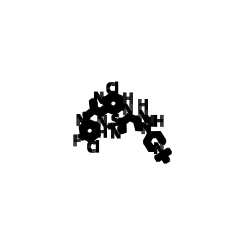 CC(C)(C)N1CCC(N2C=C([C@@H](Nc3cc(Cl)c4ncc(C#N)c(Nc5ccc(F)c(Cl)c5)c4c3)c3cncs3)NN2)CC1